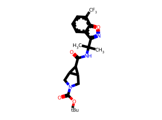 CC(C)(C)OC(=O)N1CC2C(C1)C2C(=O)NC(C)(C)c1noc2c(C(F)(F)F)cccc12